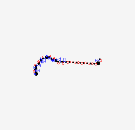 CC(=O)Nc1cccc(OCCOCCOCCOCCOCCOCCOCCOCCOCCNC(=O)CCNC(=O)c2cc(NC(=O)CCNC(=O)c3cc(NC(=O)c4nc(NC(=O)CCNC(=O)c5cc(NC(=O)c6cccn6C)cn5C)cn4C)cn3C)cn2C)c1